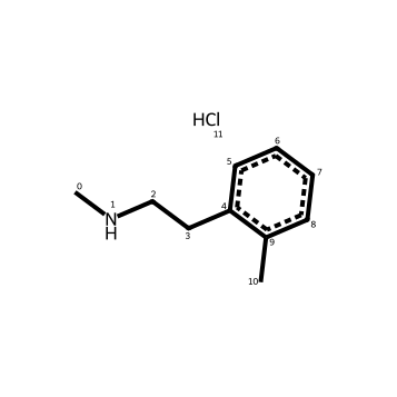 CNCCc1ccccc1C.Cl